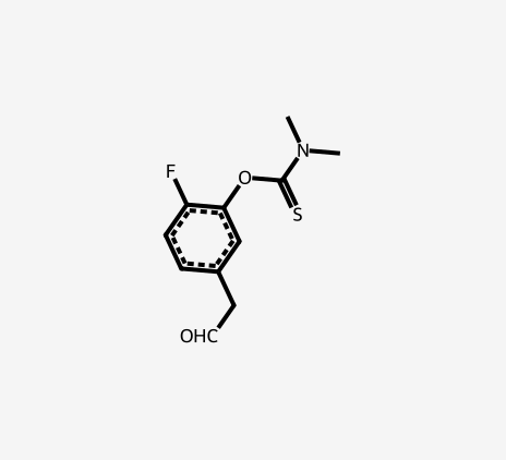 CN(C)C(=S)Oc1cc(CC=O)ccc1F